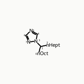 CCCCCCCCC(CCCCCCC)n1cncn1